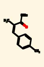 COC(=O)C(C)=Cc1ccc(C)cc1